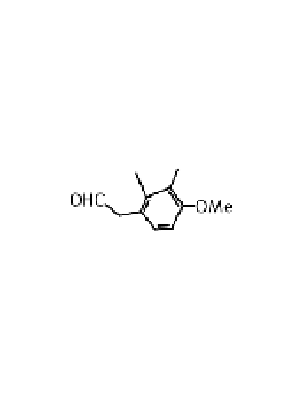 COc1ccc(CC=O)c(C)c1C